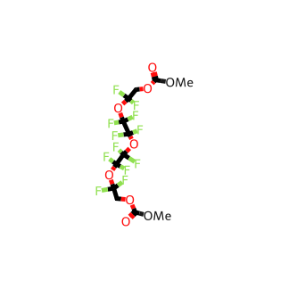 COC(=O)OCC(F)(F)OC(F)(F)C(F)(F)OC(F)(F)C(F)(F)OC(F)(F)COC(=O)OC